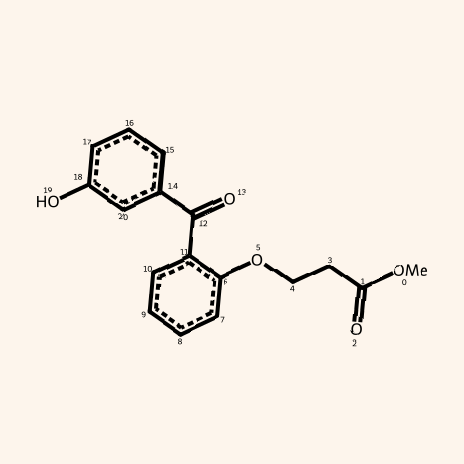 COC(=O)CCOc1ccccc1C(=O)c1cccc(O)c1